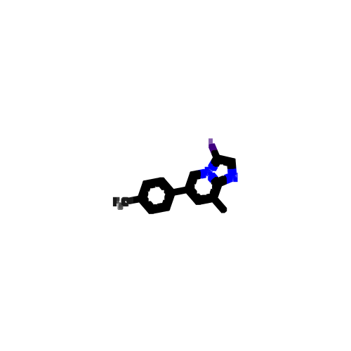 Cc1cc(-c2ccc(C(F)(F)F)cc2)cn2c(I)cnc12